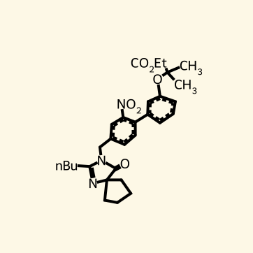 CCCCC1=NC2(CCCC2)C(=O)N1Cc1ccc(-c2cccc(OC(C)(C)C(=O)OCC)c2)c([N+](=O)[O-])c1